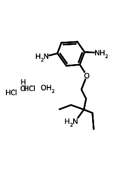 CCC(N)(CC)CCOc1cc(N)ccc1N.Cl.Cl.Cl.O